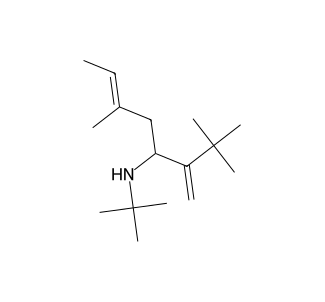 C=C(C(C/C(C)=C/C)NC(C)(C)C)C(C)(C)C